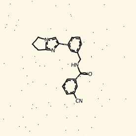 N#Cc1cccc(C(=O)NCc2cccc(-c3cn4c(n3)CCC4)c2)c1